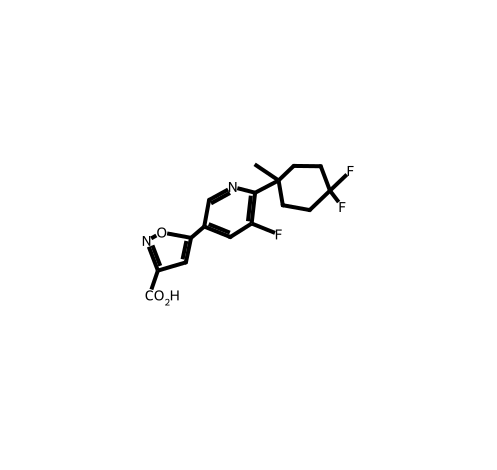 CC1(c2ncc(-c3cc(C(=O)O)no3)cc2F)CCC(F)(F)CC1